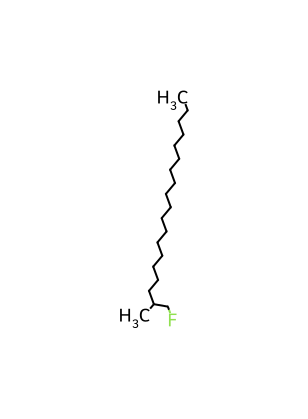 CCCCCCCCCCCCCCCCCC(C)CF